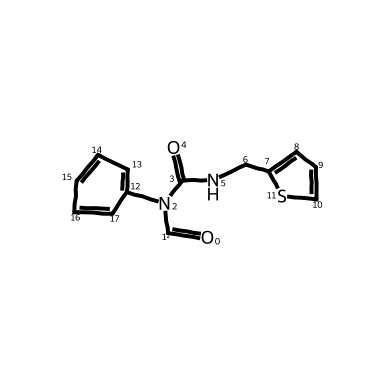 O=[C]N(C(=O)NCc1cccs1)c1ccccc1